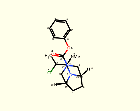 CN[C@H](C(C)Cl)N1[C@@H]2CC[C@H]1CN(C(=O)Oc1ccccc1)C2